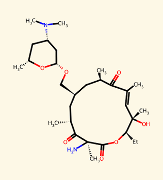 CC[C@H]1OC(=O)[C@@](C)(N)C(=O)[C@H](C)C[C@@H](CO[C@H]2C[C@@H](N(C)C)C[C@@H](C)O2)C[C@@H](C)C(=O)/C(C)=C/[C@]1(C)O